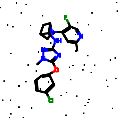 Cc1cc(N2CC3CC2C3Nc2nc(Oc3cccc(Cl)c3)n(C)n2)c(F)cn1